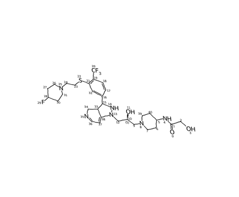 O=C(CO)NC1CCN(C[C@H](O)CN2NC(c3ccc(C(F)(F)F)c(SCCN4CCC(F)CC4)c3)C3CN=CC=C32)CC1